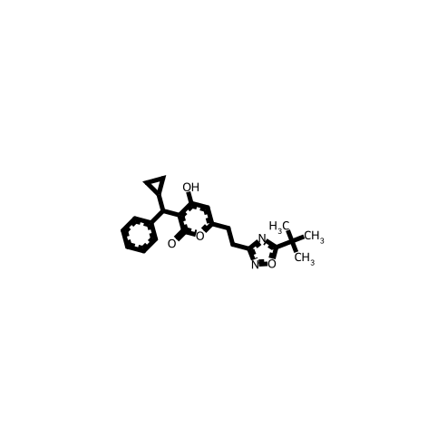 CC(C)(C)c1nc(CCc2cc(O)c(C(c3ccccc3)C3CC3)c(=O)o2)no1